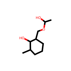 CC(O)OCC1CCCC(C)C1O